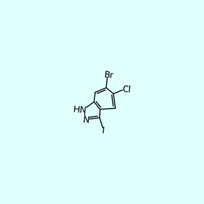 Clc1cc2c(I)n[nH]c2cc1Br